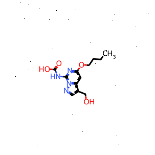 CCCCOc1cc2c(CO)cnn2c(NC(=O)O)n1